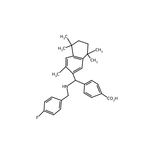 Cc1cc2c(cc1C(NCc1ccc(F)cc1)c1ccc(C(=O)O)cc1)C(C)(C)CCC2(C)C